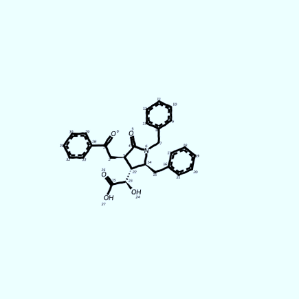 O=C(C[C@H]1C(=O)N(Cc2ccccc2)[C@@H](Cc2ccccc2)[C@@H]1[C@@H](O)C(=O)O)c1ccccc1